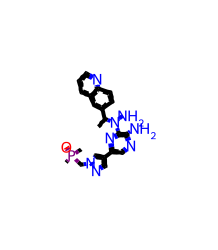 CC(c1ccc2ncccc2c1)N(N)c1nc(-c2cnn(CP(C)(C)=O)c2)cnc1N